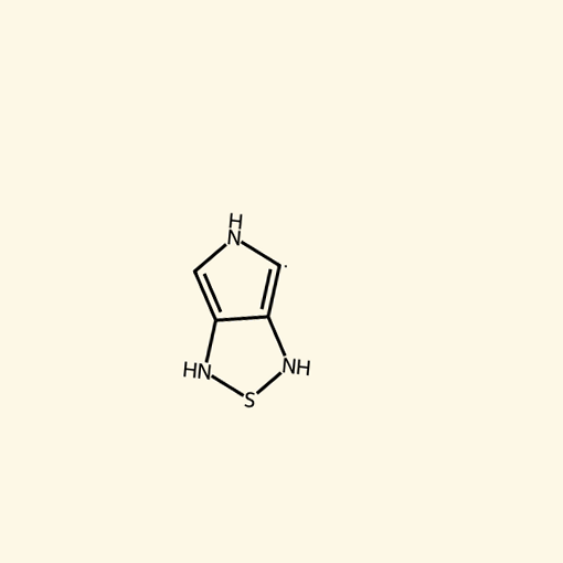 [c]1[nH]cc2c1NSN2